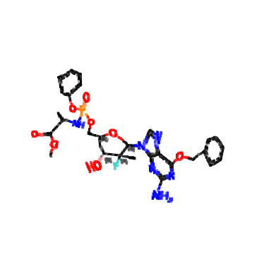 COC(=O)C(C)NP(=O)(OC[C@H]1O[C@@H](n2cnc3c(OCc4ccccc4)nc(N)nc32)[C@](C)(F)[C@@H]1O)Oc1ccccc1